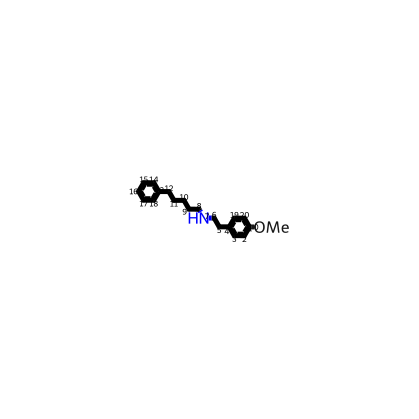 COc1ccc(CCNCCCCCc2ccccc2)cc1